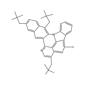 CC(C)(C)Cc1ccc2c(CC(C)(C)C)c3c(cc2c1)c1ncc(CC(C)(C)C)c2cc(I)c4c5ccccc5n3c4c21